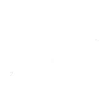 CCCCCCCC(CCCCCC(c1ccc(N)cc1)C(F)CCCCCC)c1ccc(N)cc1